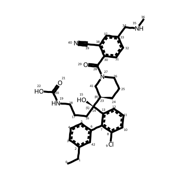 CCc1cccc(-c2c(Cl)cccc2[C@](O)(CCCNC(=O)O)[C@@H]2CCCN(C(=O)c3ccc(CNC)cc3C#N)C2)c1